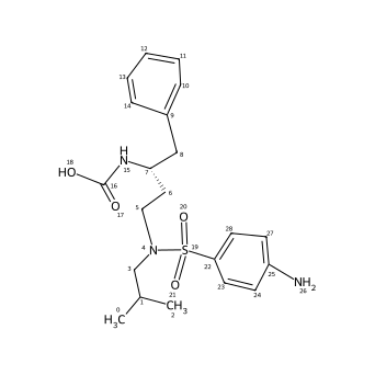 CC(C)CN(CC[C@@H](Cc1ccccc1)NC(=O)O)S(=O)(=O)c1ccc(N)cc1